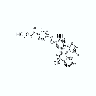 CC(CC(=O)O)c1ccc(COc2nc(-c3cc(Cl)c4ncccc4c3)c(-c3ccn(C)n3)nc2N)nc1